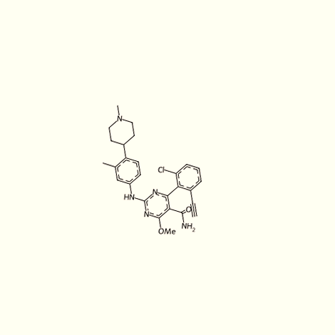 C#Cc1cccc(Cl)c1-c1nc(Nc2ccc(C3CCN(C)CC3)c(C)c2)nc(OC)c1C(N)=O